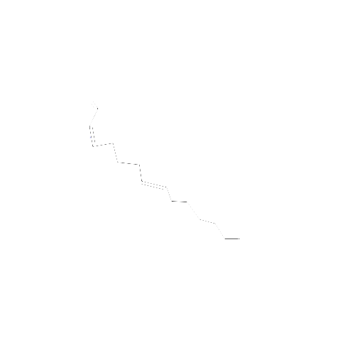 CCCCCCC=CCCC/C=C\C=O